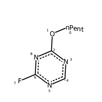 CCCCCOc1n[c]nc(F)n1